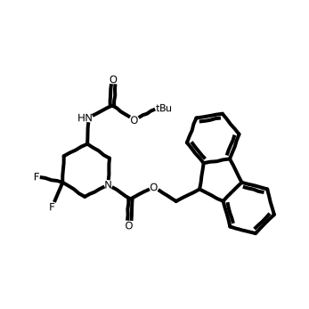 CC(C)(C)OC(=O)NC1CN(C(=O)OCC2c3ccccc3-c3ccccc32)CC(F)(F)C1